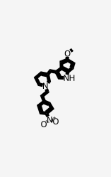 COc1ccc2[nH]cc(CC3=CCCN(CCc4ccc([N+](=O)[O-])cc4)C3)c2c1